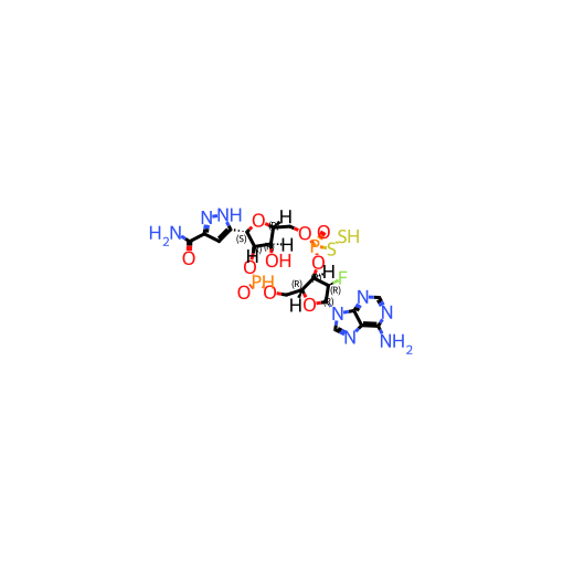 NC(=O)c1cc([C@@H]2O[C@@H]3COP(=O)(SS)O[C@H]4[C@@H](F)[C@H](n5cnc6c(N)ncnc65)O[C@@H]4CO[PH](=O)O[C@@H]2[C@@H]3O)[nH]n1